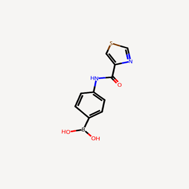 O=C(Nc1ccc(B(O)O)cc1)c1cscn1